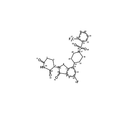 O=C1CCC(N2Cc3c(cc(F)cc3C3CCN(S(=O)(=O)c4ccccc4C(F)(F)F)CC3)C2=O)C(=O)N1